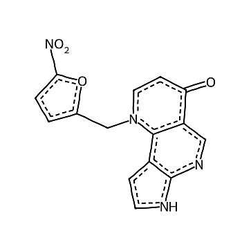 O=c1ccn(Cc2ccc([N+](=O)[O-])o2)c2c1cnc1[nH]ccc12